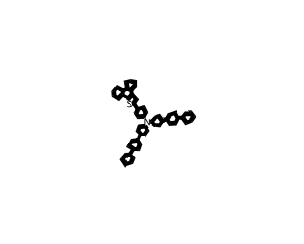 c1ccc(-c2ccc(-c3ccc(N(c4ccc(-c5ccc(-c6ccccc6)cc5)cc4)c4ccc(-c5cc6c7ccccc7c7ccccc7c6s5)cc4)cc3)cc2)cc1